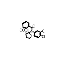 O=C(c1ccccc1)N(c1ccc(Cl)c(Cl)c1)[C@@]1(C(=O)O)CCCN1